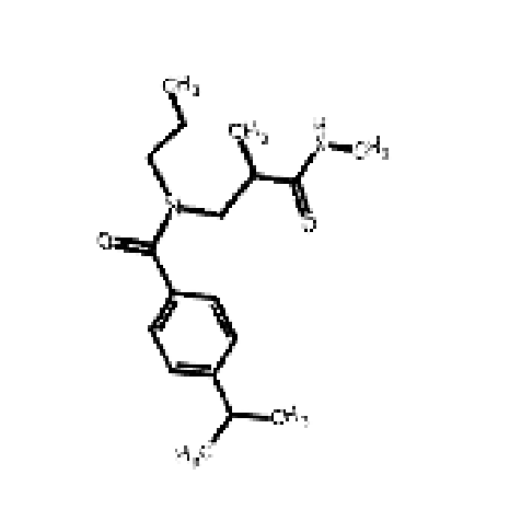 CCCN(CC(C)C(=O)NC)C(=O)c1ccc(C(C)C)cc1